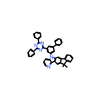 CC1(C)c2ccccc2-c2cc3c(cc21)c1ncccc1n3-c1cc(-c2ccccc2)cc(-c2nc(-c3ccccc3)nc(-c3ccccc3)n2)c1